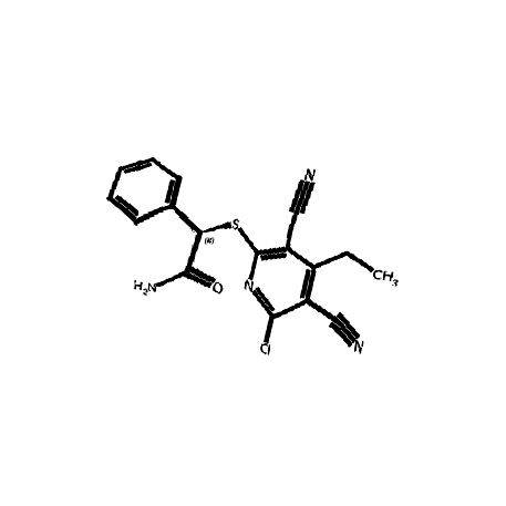 CCc1c(C#N)c(Cl)nc(S[C@@H](C(N)=O)c2ccccc2)c1C#N